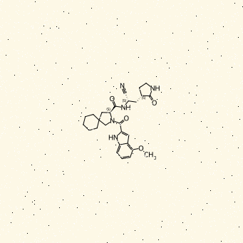 COc1cccc2[nH]c(C(=O)N3CC4(CCCCC4)C[C@H]3C(=O)N[C@H](C#N)C[C@@H]3CCNC3=O)cc12